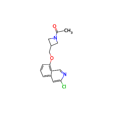 CC(=O)N1CC(COc2cccc3cc(Cl)ncc23)C1